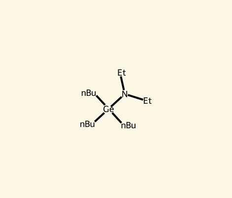 CCC[CH2][Ge]([CH2]CCC)([CH2]CCC)[N](CC)CC